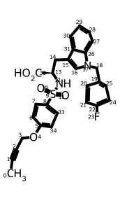 CC#CCOc1ccc(S(=O)(=O)N[C@H](Cc2cn(Cc3ccc(F)cc3)c3ccccc23)C(=O)O)cc1